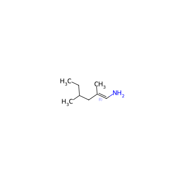 CCC(C)C/C(C)=C/N